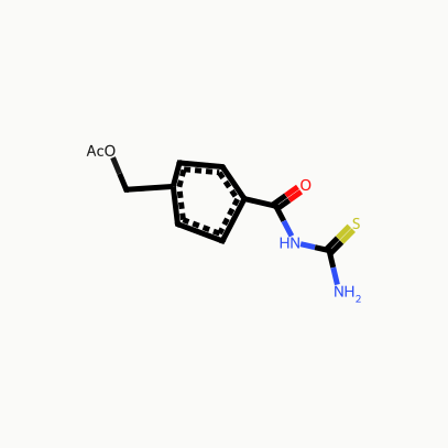 CC(=O)OCc1ccc(C(=O)NC(N)=S)cc1